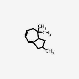 CC1CC2=CC=CCC(C)(C)C2C1